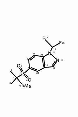 CSC(C)(C)S(=O)(=O)c1ccc2c(cnn2C(F)F)c1